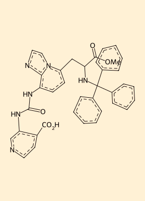 COC(=O)C(Cc1ccc(NC(=O)Nc2cnccc2C(=O)O)c2nccn12)NC(c1ccccc1)(c1ccccc1)c1ccccc1